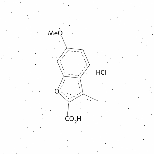 COc1ccc2c(C)c(C(=O)O)oc2c1.Cl